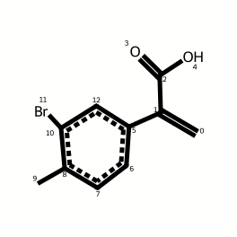 C=C(C(=O)O)c1ccc(C)c(Br)c1